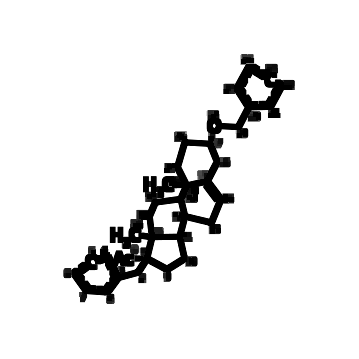 CC(=O)[C@@]1(Cc2ccccc2)CCC2C3CC=C4C[C@@H](OCc5ccccc5)CC[C@]4(C)C3CCC21C